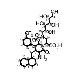 Nc1c(Cc2cccc3ccccc23)c(-c2cccc(C(F)(F)F)c2)c2n(c1=O)C(C(=O)O)CN(C[C@H](O)[C@@H](O)[C@H](O)[C@H](O)CO)S2(=O)=O